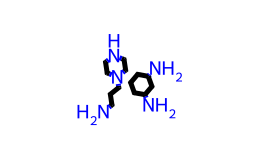 NC1CCCC(N)C1.NCCCN1CCNCC1